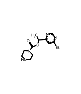 CCc1cc(C(C)OC(=O)N2CCNCC2)ncn1